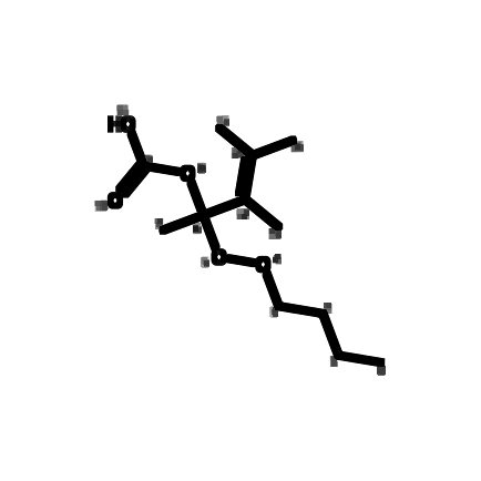 CCCCOOC(C)(OC(=O)O)C(C)=C(C)C